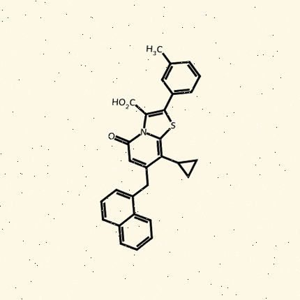 Cc1cccc(-c2sc3c(C4CC4)c(Cc4cccc5ccccc45)cc(=O)n3c2C(=O)O)c1